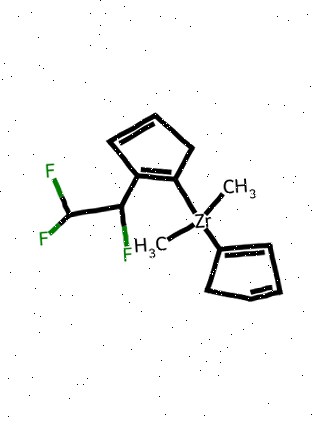 [CH3][Zr]([CH3])([C]1=CC=CC1)[C]1=C(C(F)C(F)F)C=CC1